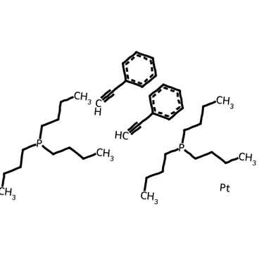 C#Cc1ccccc1.C#Cc1ccccc1.CCCCP(CCCC)CCCC.CCCCP(CCCC)CCCC.[Pt]